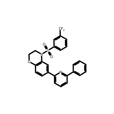 O=S(=O)(c1cccc(C(F)(F)F)c1)N1CCOc2ccc(-c3cccc(-c4ccccc4)n3)cc21